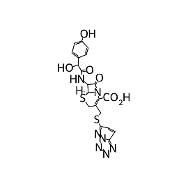 O=C(O)C1=C(CSc2ccc3nnnn3n2)CS[C@H]2C(NC(=O)C(O)c3ccc(O)cc3)C(=O)N12